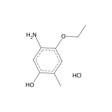 CCOc1cc(C)c(O)cc1N.Cl